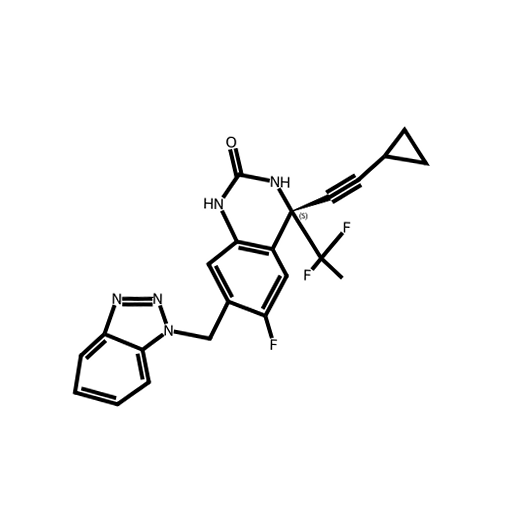 CC(F)(F)[C@@]1(C#CC2CC2)NC(=O)Nc2cc(Cn3nnc4ccccc43)c(F)cc21